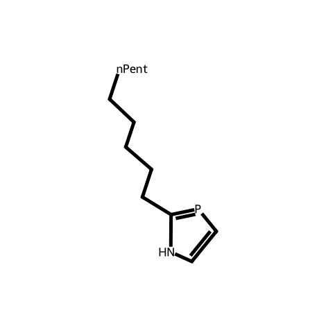 CCCCCCCCCCc1[nH]ccp1